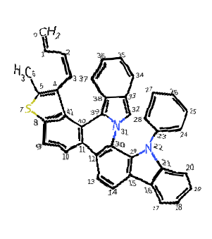 C=C/C=C\c1c(C)sc2ccc3c4ccc5c6ccccc6n(-c6ccccc6)c5c4n4cc5ccccc5c4c3c12